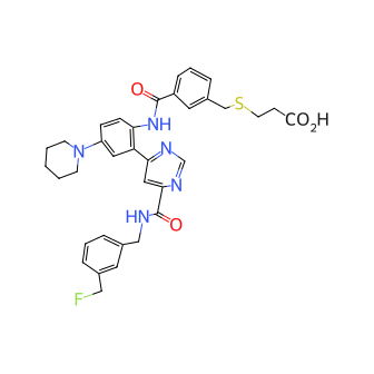 O=C(O)CCSCc1cccc(C(=O)Nc2ccc(N3CCCCC3)cc2-c2cc(C(=O)NCc3cccc(CF)c3)ncn2)c1